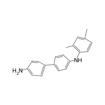 Cc1ccc(Nc2ccc(-c3ccc(N)cc3)cc2)c(C)c1